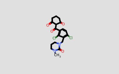 CN1CCCN(Cc2c(Cl)ccc(C(=O)C3C(=O)CCCC3=O)c2Cl)C1=O